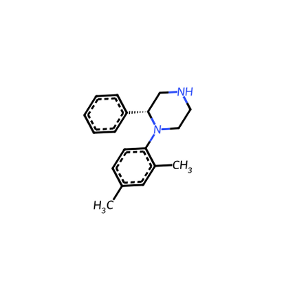 Cc1ccc(N2CCNC[C@H]2c2ccccc2)c(C)c1